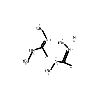 CC(=NC(C)(C)C)NC(C)(C)C.CC(=NC(C)(C)C)NC(C)(C)C.[Ni]